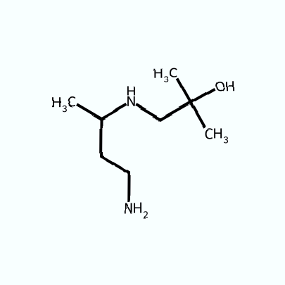 CC(CCN)NCC(C)(C)O